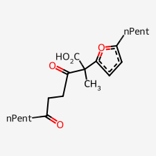 CCCCCC(=O)CCC(=O)C(C)(C(=O)O)c1ccc(CCCCC)o1